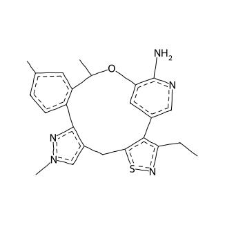 CCc1nsc2c1-c1cnc(N)c(c1)OC(C)c1cc(C)ccc1-c1nn(C)cc1C2